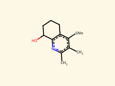 CSc1c(C)c(C)nc2c1CCCC2O